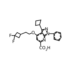 O=C(O)c1cc(OCCC2CC(F)(F)C2)c2c(C3CCC3)nn(-c3ccccc3)c2n1